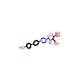 C[C@H](O)[C@@H](NC(=O)N1CCN(c2ccc(-c3ccc(O)cc3)cc2)CC1)C(=O)NO